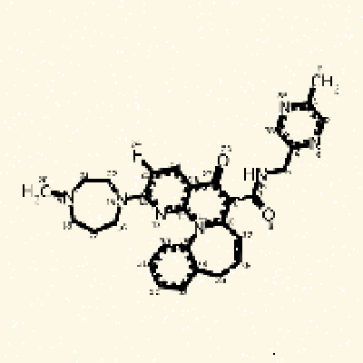 Cc1cnc(CNC(=O)c2c3n(c4nc(N5CCCN(C)CC5)c(F)cc4c2=O)-c2ccccc2CC=C3)cn1